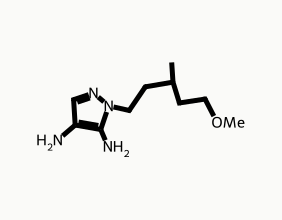 COCCC(C)CCn1ncc(N)c1N